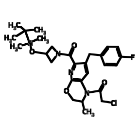 CC1COc2nc(C(=O)N3CC(O[Si](C)(C)C(C)(C)C)C3)c(Cc3ccc(F)cc3)cc2N1C(=O)CCl